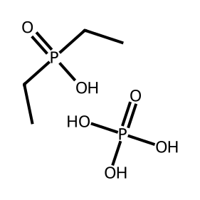 CCP(=O)(O)CC.O=P(O)(O)O